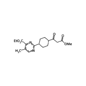 CCOC(=O)c1nc(C2CCC(C(=O)CC(=O)OC)CC2)ncc1C